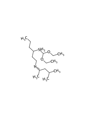 CCCC(CCN=C(C)CC(C)C)[SiH2]C(OCC)OCC